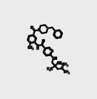 Cc1ccc(C(=O)N2CCC(Cc3ccccc3)CC2)cc1NC(=O)c1ccc(NCC(C)(C)CN(C)C)nc1